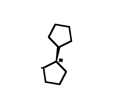 [CH]1CCC[C@@H]1C1CCCC1